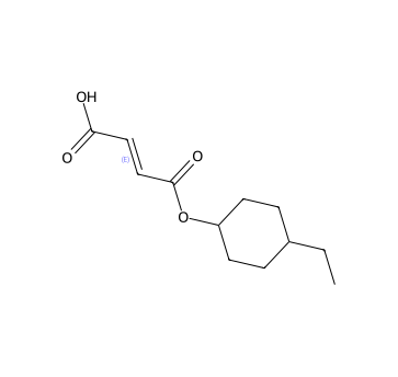 CCC1CCC(OC(=O)/C=C/C(=O)O)CC1